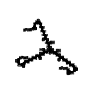 CCCCC[C@H]1OC1C[C@H]1OC1CCCCCCCC(=O)OC[C@H](O)COP(=O)(OC[C@@H](O)COC(=O)CCCCCCCC1O[C@@H]1CC1O[C@@H]1CCCCC)OC[C@@H](O)COC(=O)CCCCCCCC1O[C@@H]1CC1O[C@@H]1CCCCC